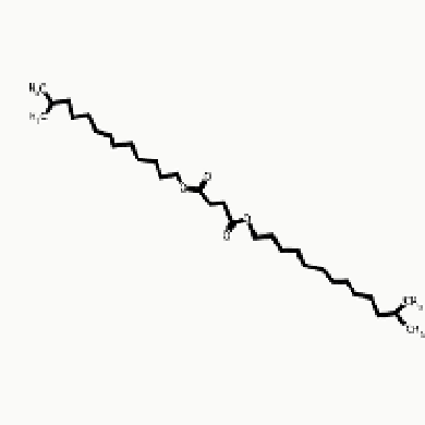 CC(C)CCCCCCCCCCCOC(=O)CCC(=O)OCCCCCCCCCCCC(C)C